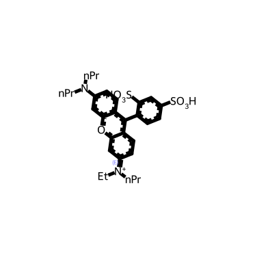 CCCN(CCC)c1ccc2c(-c3ccc(S(=O)(=O)O)cc3S(=O)(=O)O)c3cc/c(=[N+](/CC)CCC)cc-3oc2c1